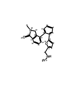 CC(C)NCc1ccc(-c2ccccc2-c2cccc3c2CN(C)C3=O)o1